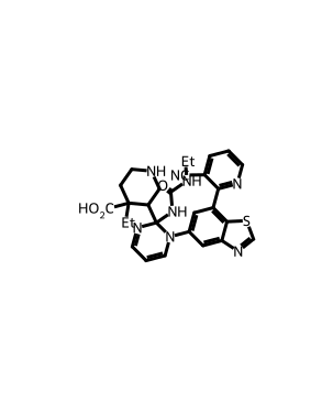 CCNC(=O)NC1(C2CNCCC2(CC)C(=O)O)N=CC=CN1c1cc(-c2ncccc2C#N)c2scnc2c1